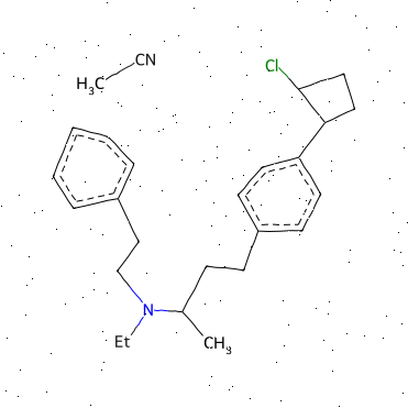 CC#N.CCN(CCc1ccccc1)C(C)CCc1ccc(C2CCC2Cl)cc1